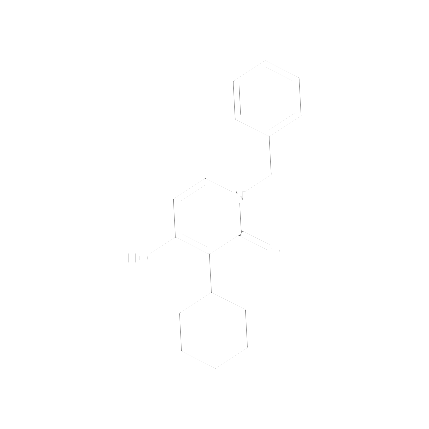 O=c1c(C2CCCCC2)c(O)ccn1Cc1ccccc1